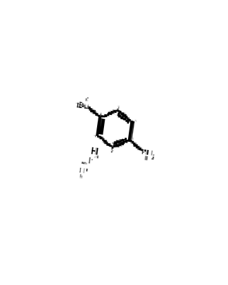 CC(C)(C)c1ccc(P)cc1.I.[H+].[I-]